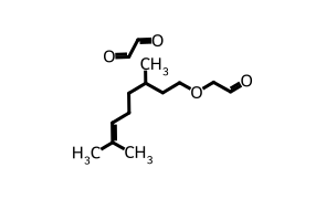 CC(C)=CCCC(C)CCOCC=O.O=CC=O